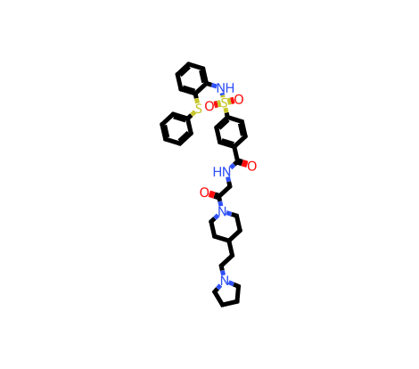 O=C(NCC(=O)N1CCC(CCN2CCCC2)CC1)c1ccc(S(=O)(=O)Nc2ccccc2Sc2ccccc2)cc1